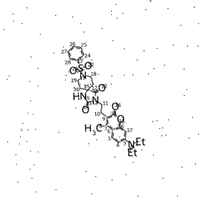 CCN(CC)c1ccc2c(C)c(CCN3C(=O)NC4(CCN(S(=O)(=O)c5ccccc5)CC4)C3=O)c(=O)oc2c1